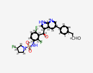 O=CCc1ccc(-c2cnc3[nH]cc(C(=O)c4c(F)ccc(NS(=O)(=O)N5CC[C@@H](F)C5)c4F)c3c2)cc1